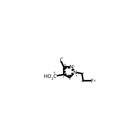 O=C(O)c1cn(CCF)nc1I